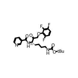 CC(C)(C)OC(=O)NCCCC[C@H](NC(=O)c1cccnc1)C(=O)COc1c(F)ccc(F)c1F